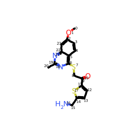 COc1ccc2c(SCC(=O)c3ccc(CN)s3)nc(C)nc2c1